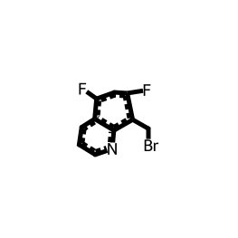 Fc1cc(F)c2cccnc2c1CBr